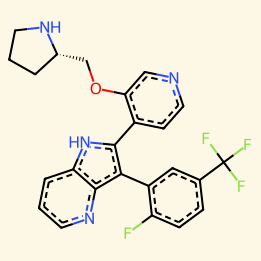 Fc1ccc(C(F)(F)F)cc1-c1c(-c2ccncc2OC[C@@H]2CCCN2)[nH]c2cccnc12